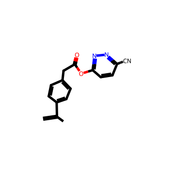 C=C(C)c1ccc(CC(=O)Oc2ccc(C#N)nn2)cc1